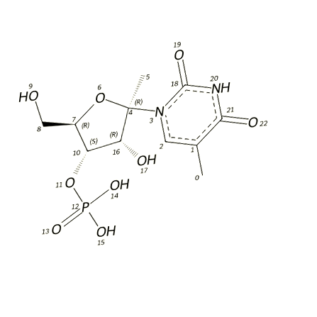 Cc1cn([C@]2(C)O[C@H](CO)[C@@H](OP(=O)(O)O)[C@H]2O)c(=O)[nH]c1=O